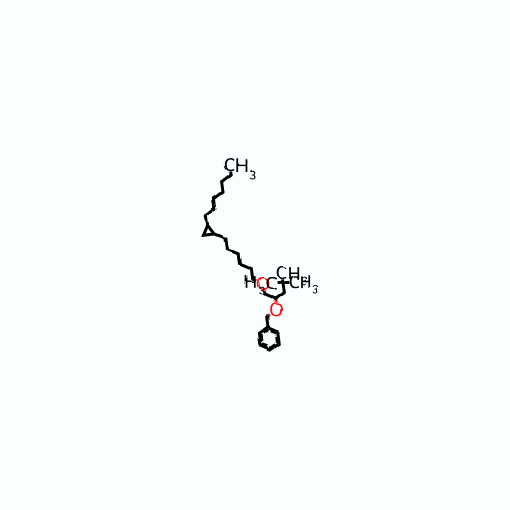 CCCCCCCC1CC1CCCCCCOCC(CC(C)(C)C)OCc1ccccc1